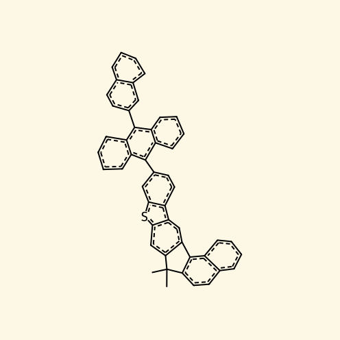 CC1(C)c2cc3sc4cc(-c5c6ccccc6c(-c6ccc7ccccc7c6)c6ccccc56)ccc4c3cc2-c2c1ccc1ccccc21